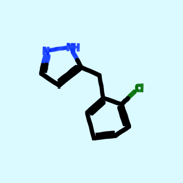 Clc1ccccc1Cc1[c]cn[nH]1